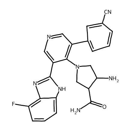 N#Cc1cccc(-c2cncc(-c3nc4c(F)cccc4[nH]3)c2N2CC(N)C(C(N)=O)C2)c1